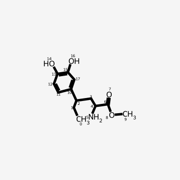 CCC(CC(N)C(=O)OC)c1ccc(O)c(O)c1